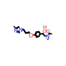 CC(=O)N(C)C[C@H](O)c1ccc(OCCCn2cnc(C)c2)cc1